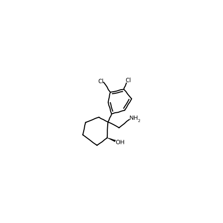 NCC1(c2ccc(Cl)c(Cl)c2)CCCC[C@@H]1O